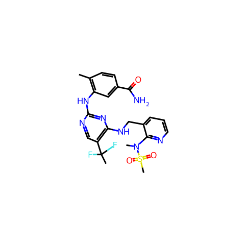 Cc1ccc(C(N)=O)cc1Nc1ncc(C(C)(F)F)c(NCc2cccnc2N(C)S(C)(=O)=O)n1